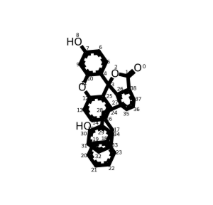 O=C1OC2(c3ccc(O)cc3Oc3cc(O)c(Cc4ccccc4)cc32)c2c(Cc3ccccc3)cccc21